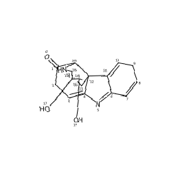 O=C1CC=C2N=C3C=CCC=C3C23C=C(O)C(O)=CNC13